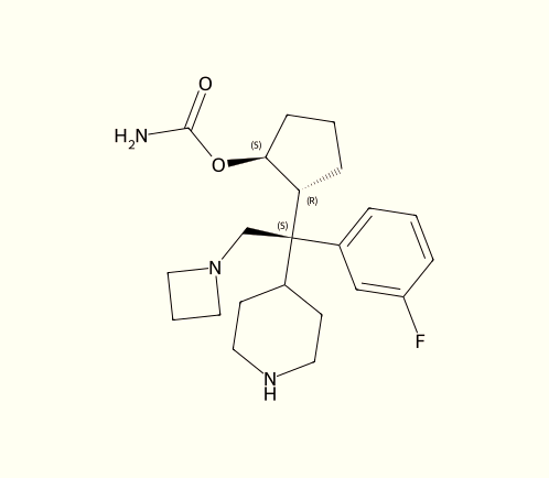 NC(=O)O[C@H]1CCC[C@@H]1[C@](CN1CCC1)(c1cccc(F)c1)C1CCNCC1